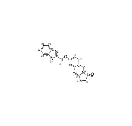 CC(Oc1ccc(CN2C(=O)CSC2=O)cc1)c1nc2ccccc2[nH]1